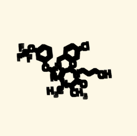 CC1C(=O)N(CCCO)C(=O)c2c(nc(Oc3cccc(OC(F)(F)F)c3)n2Cc2ccc(Cl)cc2)N1C